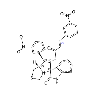 O=C(/C=C/c1cccc([N+](=O)[O-])c1)C[C@H]1[C@H](c2cccc([N+](=O)[O-])c2)[C@H]2CSCN2[C@]12C(=O)Nc1ccccc12